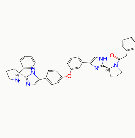 O=C(Cc1ccccc1)N1CCC[C@H]1c1nc(-c2cccc(Oc3ccc(-c4cnc([C@@]5(c6ccccc6)CCC[N]5)[nH]4)cc3)c2)c[nH]1